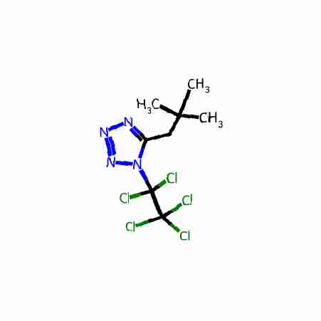 CC(C)(C)Cc1nnnn1C(Cl)(Cl)C(Cl)(Cl)Cl